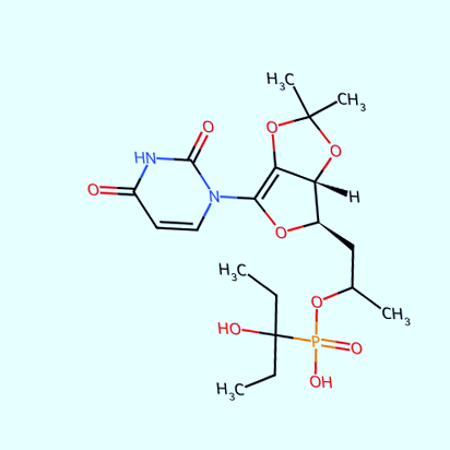 CCC(O)(CC)P(=O)(O)OC(C)C[C@H]1OC(n2ccc(=O)[nH]c2=O)=C2OC(C)(C)O[C@@H]21